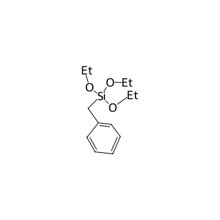 CCO[Si](Cc1ccccc1)(OCC)OCC